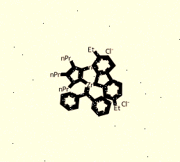 CCCC1=C(CCC)C(CCC)[C]([Zr+2](=[C](c2ccccc2)c2ccccc2)[CH]2c3cc(CC)ccc3-c3ccc(CC)cc32)=C1CCC.[Cl-].[Cl-]